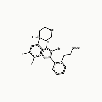 CC(=O)NCCc1ccccc1-c1onc([C@H]2CNCC[C@]2(F)c2ccc(F)c(F)c2)c1Br